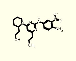 CCCc1cc(N2CCCCC2CCO)nc(Nc2ccc(N)c([N+](=O)[O-])c2)n1